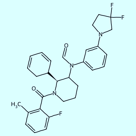 Cc1cccc(F)c1C(=O)N1CCCC(N(C=O)c2cccc(N3CCC(F)(F)C3)c2)[C@@H]1C1C=CC=CC1